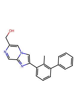 Cc1c(-c2ccccc2)cccc1-c1cn2cc(CO)ncc2n1